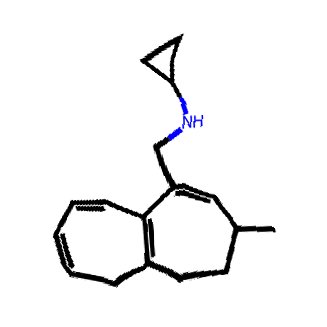 CC1C=C(CNC2CC2)C2=C(CC=CC=C2)CC1